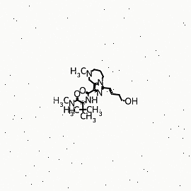 CNC(=O)[C@@H](NC(=O)c1nc(C=CCCO)n2c1CN(C)CCC2)C(C)(C)C